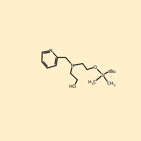 CC(C)(C)[Si](C)(C)OCCN(CCO)Cc1ccccn1